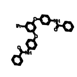 CC(C)c1cc(Oc2ccc(NC(=O)c3ccccc3)cc2)cc(Oc2ccc(NC(=O)c3ccccc3)cc2)c1